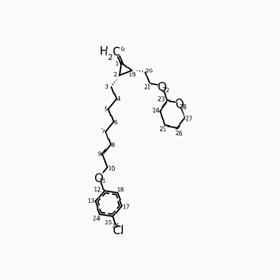 C=C1[C@@H](CCCCCCCCOc2ccc(Cl)cc2)[C@H]1CCOC1CCCCO1